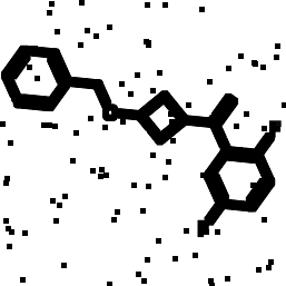 C=C(c1cc(F)ccc1F)C1CC(OCc2ccccc2)C1